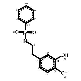 O=S(=O)(NCCc1ccc(O)c(O)c1)c1ccccc1